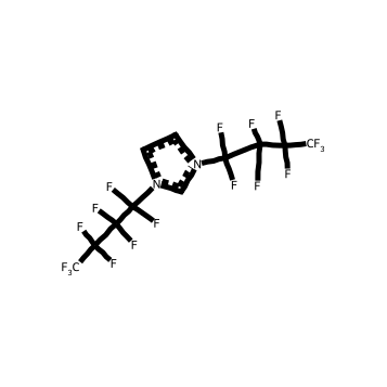 FC(F)(F)C(F)(F)C(F)(F)C(F)(F)n1cc[n+](C(F)(F)C(F)(F)C(F)(F)C(F)(F)F)c1